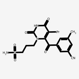 Cc1cc(C#N)cc(C(=O)c2c(C(C)C)c(=O)[nH]c(=O)n2CCCS(N)(=O)=O)c1